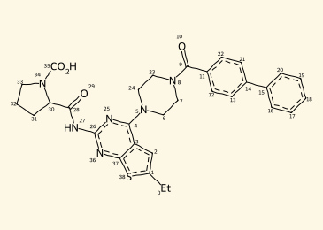 CCc1cc2c(N3CCN(C(=O)c4ccc(-c5ccccc5)cc4)CC3)nc(NC(=O)C3CCCN3C(=O)O)nc2s1